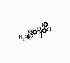 NC(=O)CS(=O)(=O)c1ccc(C(=O)Nc2ccc(Cl)c(-c3ccccn3)c2)cc1